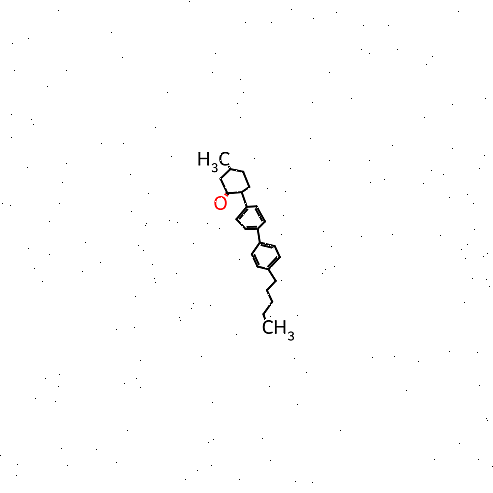 CCCCCc1ccc(-c2ccc(C3CCC(C)CC3=O)cc2)cc1